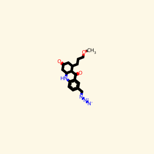 COCCCC1CC(=O)CC2Nc3ccc(CN=[N+]=[N-])cc3C(=O)C12